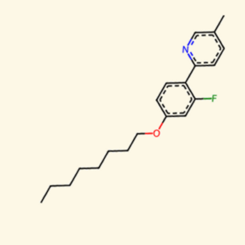 CCCCCCCCOc1ccc(-c2ccc(C)cn2)c(F)c1